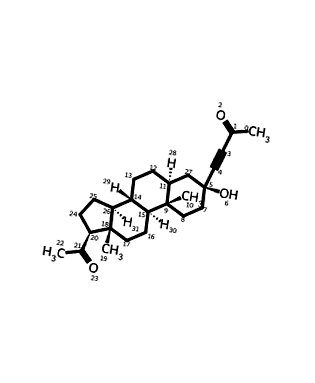 CC(=O)C#C[C@]1(O)CC[C@@]2(C)[C@@H](CC[C@@H]3[C@@H]2CC[C@]2(C)[C@@H](C(C)=O)CC[C@@H]32)C1